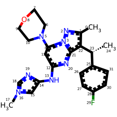 Cc1nn2c(N3CCOCC3)cc(Nc3cn(C)cn3)nc2c1[C@H](C)c1ccc(F)cc1